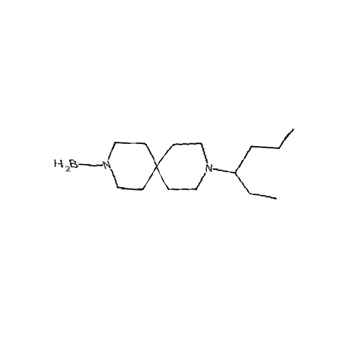 BN1CCC2(CC1)CCN(C(CC)CCC)CC2